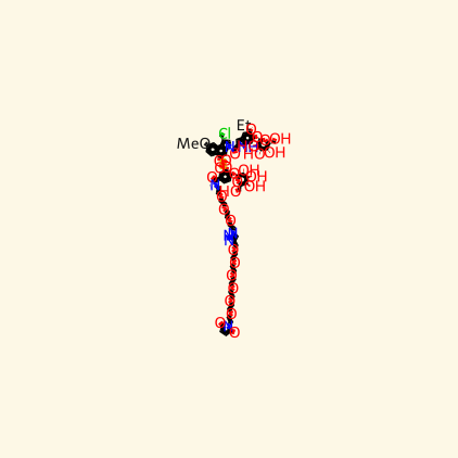 CCOc1cc2cc(C(=O)N3C[C@@H](CCl)c4c3cc(OS(=O)(=O)Oc3cc(C(=O)N(C)CCOCCOCCOCCn5cc(COCCOCCOCCOCCOCCOCCN6C(=O)C=CC6=O)nn5)ccc3O[C@@H]3O[C@H](CO)[C@H](O)[C@H](O)[C@H]3O)c3ccc(OC)cc43)[nH]c2cc1O[C@@H]1O[C@H](CO)[C@H](O)[C@H](O)[C@H]1O